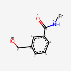 CC(C)NC(=O)c1cccc(CO)c1